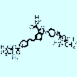 CC(C)(C)OC(=O)CN1CCC(n2nc(C(N)=O)c3cc(C=CC4CCN(C(=O)OC(C)(C)C)CC4)ccc32)CC1